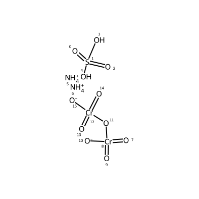 O=S(=O)(O)O.[NH4+].[NH4+].[O]=[Cr](=[O])([O-])[O][Cr](=[O])(=[O])[O-]